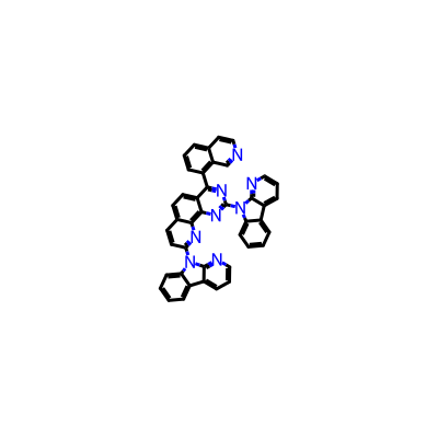 c1cc(-c2nc(-n3c4ccccc4c4cccnc43)nc3c2ccc2ccc(-n4c5ccccc5c5cccnc54)nc23)c2cnccc2c1